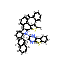 C=Cc1ccccc1-c1c(C)sc2c1c1ccccc1c1c3ccccc3n(-c3nc4c(nc3-c3cccc5ccccc35)sc3ccccc34)c21